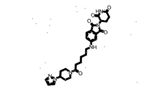 O=C1CCC(N2C(=O)c3ccc(NCCCCCC(=O)N4CCC(n5cccn5)CC4)cc3C2=O)C(=O)N1